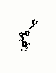 COc1ccc(C(=O)CN2CCCC2c2cccc(OCCCN3CCOCC3)c2)cc1Cl